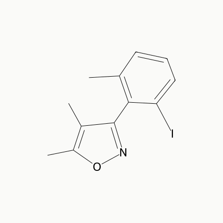 Cc1cccc(I)c1-c1noc(C)c1C